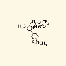 Cc1cc(-c2cnc3c(ccn3C)c2)n2nc(OS(=O)(=O)C(F)(F)F)ncc12